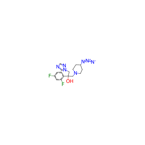 [N-]=[N+]=NC1CCN(CC(O)(Cn2cncn2)c2ccc(F)cc2F)CC1